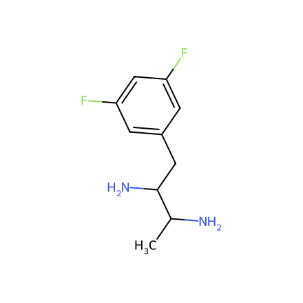 CC(N)C(N)Cc1cc(F)cc(F)c1